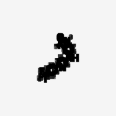 Cn1c(=O)n(C)c2cc(Nc3ccc(N4CCC(C(F)(F)F)CC4)nc3)ccc21